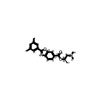 Cc1cc(C)cc(-c2nc3ccc(C(=O)O[C@H](C)CN(C)C)cc3o2)c1